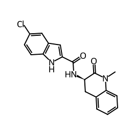 CN1C(=O)[C@H](NC(=O)c2cc3cc(Cl)ccc3[nH]2)Cc2ccccc21